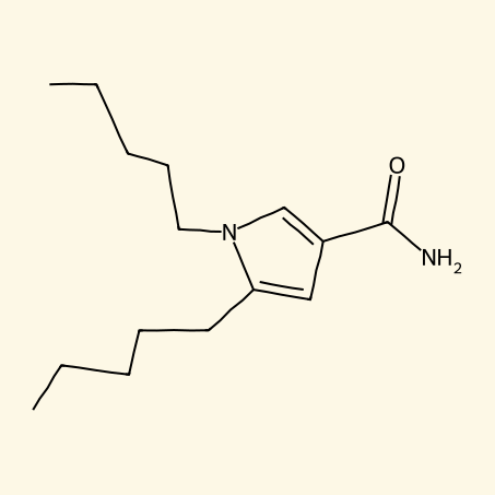 CCCCCc1cc(C(N)=O)cn1CCCCC